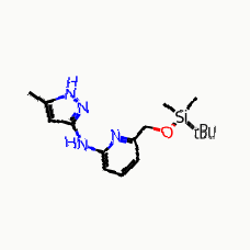 Cc1cc(Nc2cccc(CO[Si](C)(C)C(C)(C)C)n2)n[nH]1